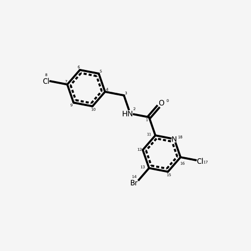 O=C(NCc1ccc(Cl)cc1)c1cc(Br)cc(Cl)n1